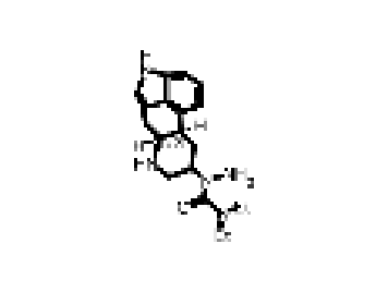 CCN(CC)C(=O)N(N)C1CN[C@@H]2Cc3c[nH]c4cccc(c34)[C@H]2C1